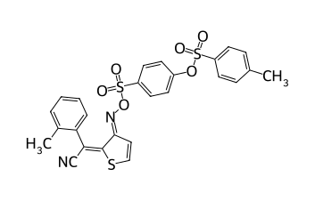 Cc1ccc(S(=O)(=O)Oc2ccc(S(=O)(=O)ON=C3C=CSC3=C(C#N)c3ccccc3C)cc2)cc1